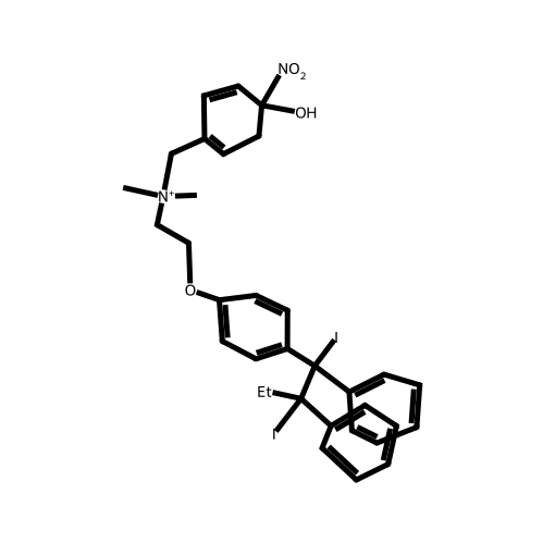 CCC(I)(c1ccccc1)C(I)(c1ccccc1)c1ccc(OCC[N+](C)(C)CC2=CCC(O)([N+](=O)[O-])C=C2)cc1